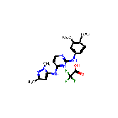 COc1ccc(Nc2nccc(Nc3cc(C)nn3C)n2)cc1OC.O=C(O)C(F)(F)F